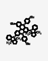 CC(C)(C)c1ccc(N2c3ccc(C(C)(C)C)cc3B3c4ccc(N5c6ccccc6C6(C)CCCC56C)cc4N(c4ccc(C(C)(C)C)cc4)c4cc(N5c6ccccc6C6(C)CCCC56C)cc2c43)cc1